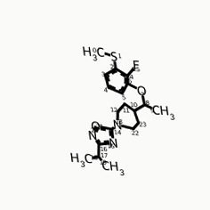 CSc1[c]ccc(OC(C)C2CCN(c3nc(C(C)C)no3)CC2)c1F